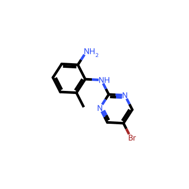 Cc1cccc(N)c1Nc1ncc(Br)cn1